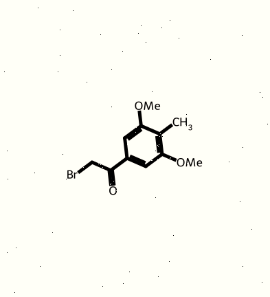 COc1cc(C(=O)CBr)cc(OC)c1C